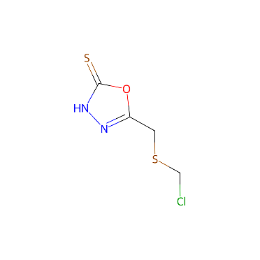 S=c1[nH]nc(CSCCl)o1